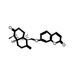 C=C1CC[C@@H]2[C@@H](C)C(=O)CC[C@@]2(C)[C@H]1COc1ccc2ccc(=O)oc2c1